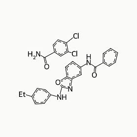 CCc1ccc(Nc2nc3cc(NC(=O)c4ccccc4)ccc3o2)cc1.NC(=O)c1ccc(Cl)c(Cl)c1